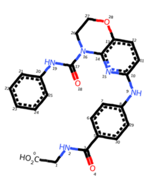 O=C(O)CNC(=O)c1ccc(Nc2ccc3c(n2)N(C(=O)Nc2ccccc2)CCO3)cc1